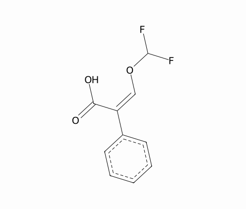 O=C(O)C(=COC(F)F)c1ccccc1